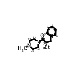 CC[C@@H](Cc1ccccc1)C(=O)N1CCN(C)CC1